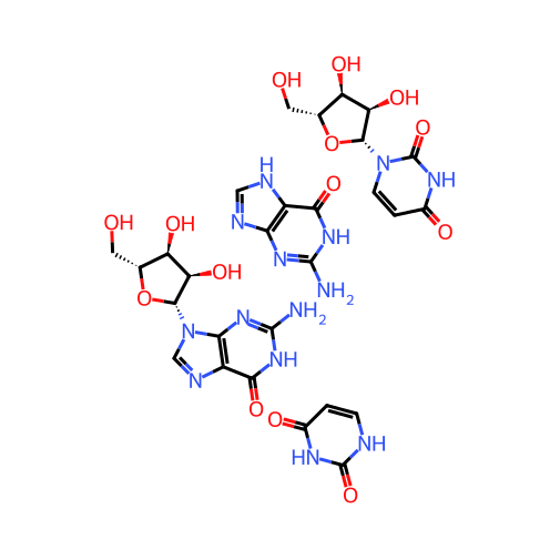 Nc1nc2c(ncn2[C@@H]2O[C@H](CO)[C@@H](O)[C@H]2O)c(=O)[nH]1.Nc1nc2nc[nH]c2c(=O)[nH]1.O=c1cc[nH]c(=O)[nH]1.O=c1ccn([C@@H]2O[C@H](CO)[C@@H](O)[C@H]2O)c(=O)[nH]1